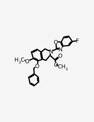 COC(=O)C1Cc2c(ccc(OC)c2OCc2ccccc2)CN1c1nc2cc(F)ccc2o1